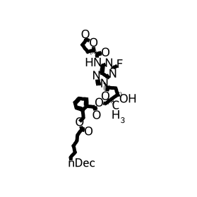 CCCCCCCCCCCCCCCC(=O)OCc1ccccc1C(=O)OC[C@@]1(C)O[C@@H](n2cnc3c(NC(=O)[C@H]4CCC(=O)O4)nc(F)nc32)C[C@@H]1O